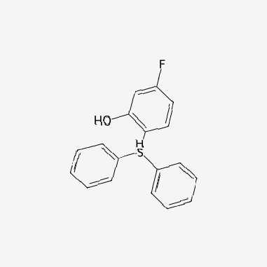 Oc1cc(F)ccc1[SH](c1ccccc1)c1ccccc1